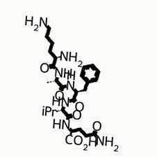 CC(C)[C@H](NC(=O)[C@H](Cc1ccccc1)NC(=O)[C@H](C)NC(=O)[C@@H](N)CCCCN)C(=O)N[C@@H](CCC(N)=O)C(=O)O